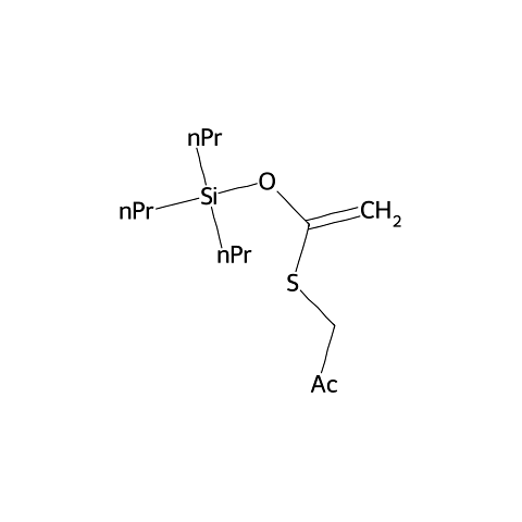 C=C(O[Si](CCC)(CCC)CCC)SCC(C)=O